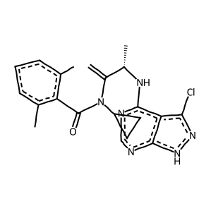 C=C([C@H](C)Nc1ncnc2[nH]nc(Cl)c12)N(C(=O)c1c(C)cccc1C)C1CC1